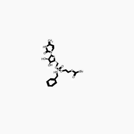 C=C1C=CN([C@@H]2S[C@H](COP(=O)(NCc3ccccc3)OCCSC(=O)C(C)(C)C)[C@@H](O)[C@H]2O)C(=O)N1